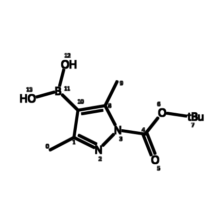 Cc1nn(C(=O)OC(C)(C)C)c(C)c1B(O)O